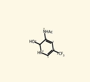 CC(=O)NC1=CC(C(F)(F)F)=CNC1O